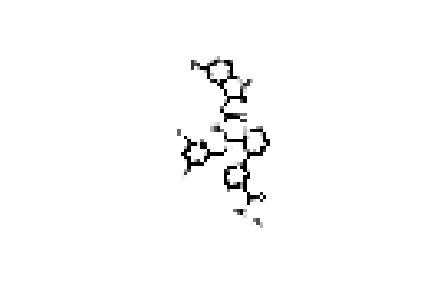 CNC(=O)c1cccc(-c2cccnc2[C@H](Cc2cc(F)cc(F)c2)NC(=O)CC2C(=O)Nc3ccc(F)cc32)c1